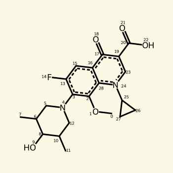 COc1c(N2CC(C)C(O)C(C)C2)c(F)cc2c(=O)c(C(=O)O)cn(C3CC3)c12